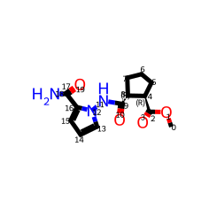 COC(=O)[C@@H]1CCC[C@H]1C(=O)Nn1cccc1C(N)=O